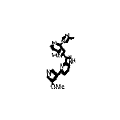 COc1cncc(-c2ccc3[nH]nc(-c4cc5c(-n6cnc(C)c6)nccc5[nH]4)c3n2)c1